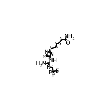 NC(=O)CCCCCn1ncc(N/C(N)=N\CC(F)(F)F)n1